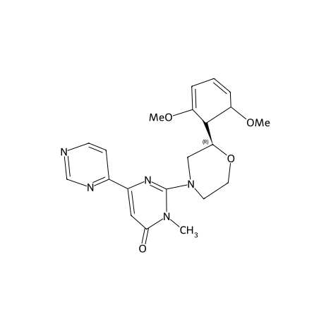 COC1=CC=CC(OC)C1[C@@H]1CN(c2nc(-c3ccncn3)cc(=O)n2C)CCO1